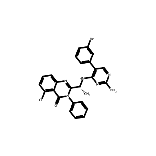 CC(=O)c1cccc(-c2cnc(N)nc2N[C@H](C)c2nc3cccc(Cl)c3c(=O)n2-c2ccccc2)c1